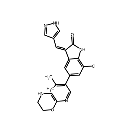 CC(C)=C(/C=N\C1=CNCCO1)c1cc(Cl)c2c(c1)/C(=C/c1cn[nH]c1)C(=O)N2